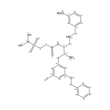 CCCN(CCC)S(=O)(=O)CCC(=O)OC(CNCc1cccc(OC)c1)C(N)Cc1cc(F)cc(OCc2ccccc2)c1